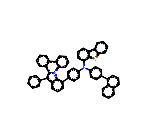 c1ccc(-c2c3cccc(-c4ccc(N(c5ccc(-c6cccc7ccccc67)cc5)c5cccc6c5sc5ccccc56)cc4)c3n3c4ccccc4c4ccccc4c23)cc1